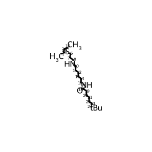 CC1C2C(C)S12CCCNCCCCCCNC(=O)CCCCCC(C)(C)C